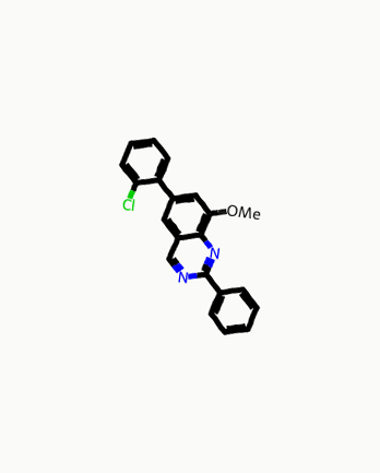 COc1cc(-c2ccccc2Cl)cc2cnc(-c3ccccc3)nc12